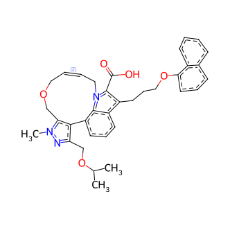 CC(C)OCc1nn(C)c2c1-c1cccc3c(CCCOc4cccc5ccccc45)c(C(=O)O)n(c13)C/C=C\COC2